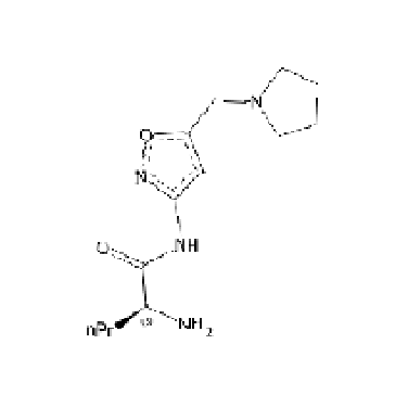 CCC[C@H](N)C(=O)Nc1cc(CN2CCCC2)on1